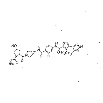 Cn1c(-c2c[nH]nc2C(F)(F)F)cnc1C(=O)Nc1ccc(C(=O)NC2C3CN(C(=O)[C@@H]4C[C@@H](O)CN4C(=O)OC(C)(C)C)CC32)c(Cl)c1